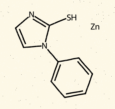 Sc1nccn1-c1ccccc1.[Zn]